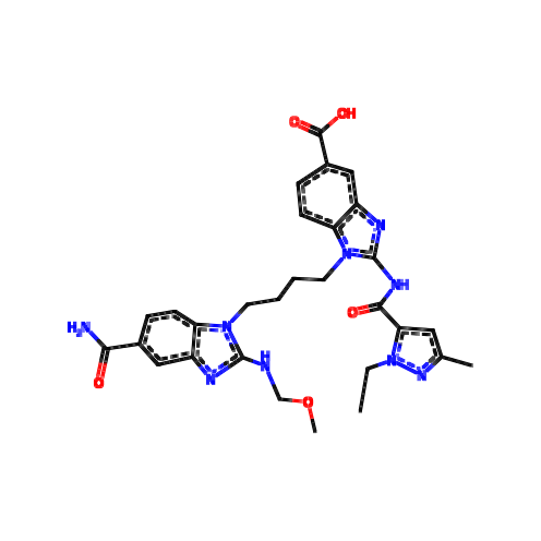 CCn1nc(C)cc1C(=O)Nc1nc2cc(C(=O)O)ccc2n1CCCCn1c(NCOC)nc2cc(C(N)=O)ccc21